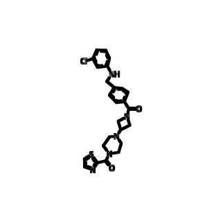 O=C(c1ccc(CNc2cccc(Cl)c2)cc1)N1CC(N2CCN(C(=O)c3nccs3)CC2)C1